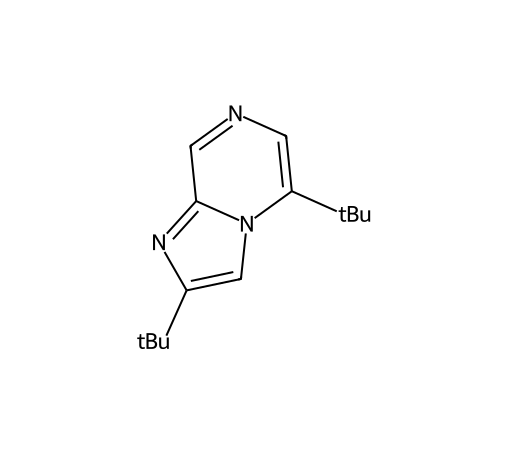 CC(C)(C)c1cn2c(C(C)(C)C)cncc2n1